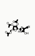 CC(=O)OC[C@H]1O[C@@H](c2nc(C#N)c(O)[nH]2)[C@H](OC(C)=O)[C@@H]1OC(C)=O